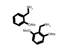 COc1cccc(OC)c1CN.COc1ccccc1CN